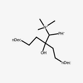 CCCCCCCCCCCCC(O)(CCCCCCCCCCCC)C([PH-])[N+](C)(C)C